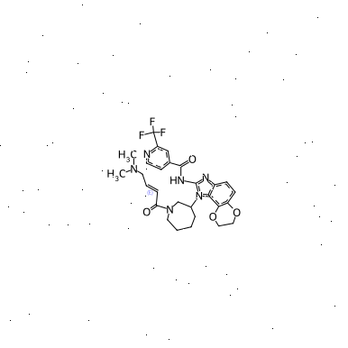 CN(C)C/C=C/C(=O)N1CCCCC(n2c(NC(=O)c3ccnc(C(F)(F)F)c3)nc3ccc4c(c32)OCCO4)C1